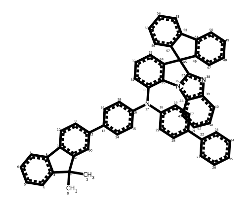 CC1(C)c2ccccc2-c2ccc(-c3ccc(N(c4ccc(-c5ccccc5)cc4)c4cccc5c4-n4c(nc6ccccc64)C54c5ccccc5-c5ccccc54)cc3)cc21